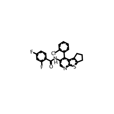 O=C(Nc1cnc2sc3c(c2c1-c1ccccc1Cl)CCC3)c1ccc(F)cc1F